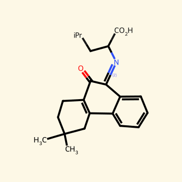 CC(C)CC(/N=C1\C(=O)C2=C(CC(C)(C)CC2)c2ccccc21)C(=O)O